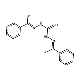 N=C(NN=C(Br)c1ccccc1)NN=C(Br)c1ccccc1